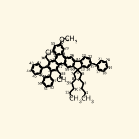 CCCCCCC1(CCCCCC)c2cc(-c3ccccc3)ccc2-c2cc3c4cc(OC)ccc4c4c(CC)c(-c5ccccc5)c(-c5ccccc5)c(CC)c4c3cc21